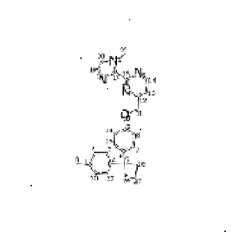 Cc1ccc(C2(c3ccc(OCc4ccnc(-c5nccn5C)n4)cc3)CCC2)cc1